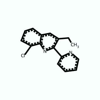 CCc1cc2cccc(Cl)c2nc1-c1ccccn1